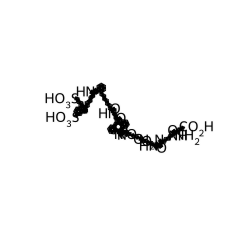 CC(C)(NCCOCCOCCOCCn1nnc2c1-c1ccccc1N(C(=O)CCNC(=O)CCCCCCCc1ccccc1C(C)(C)C(=N)/C=C/C=C/C=C1\N(CCCS(=O)(=O)O)c3ccc(S(=O)(=O)O)cc3C1(C)C)Cc1ccccc1-2)C(=O)C(N)CCCCNC(=O)[C@H](N)CCC(=O)O